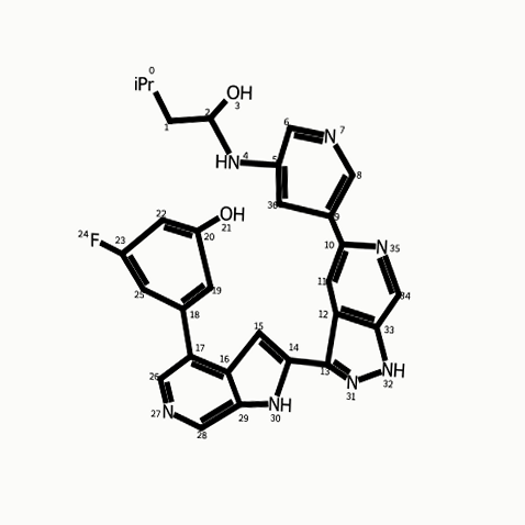 CC(C)CC(O)Nc1cncc(-c2cc3c(-c4cc5c(-c6cc(O)cc(F)c6)cncc5[nH]4)n[nH]c3cn2)c1